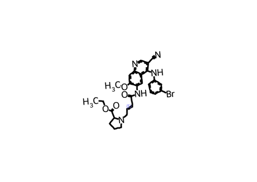 CCOC(=O)C1CCCN1C/C=C/C(=O)Nc1cc2c(Nc3cccc(Br)c3)c(C#N)cnc2cc1OC